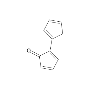 O=C1C=CC=C1C1=CC=CC1